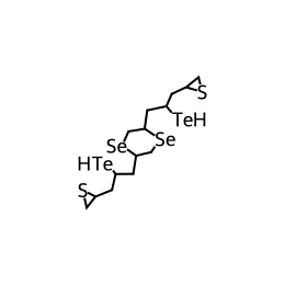 [TeH]C(CC1CS1)CC1C[Se]C(CC([TeH])CC2CS2)C[Se]1